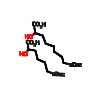 CCCCCCCCCCCCCCC(O)C(=O)O.CCCCCCCCCCCCCCCCC(O)C(=O)O